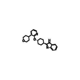 c1cnc(O[C@H]2CC[C@H](c3nc4ccccc4[nH]3)CC2)c(C2CCOCC2)c1